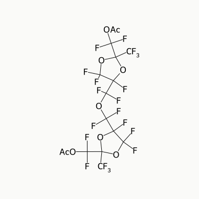 CC(=O)OC(F)(F)C1(C(F)(F)F)OC(F)(F)C(F)(C(F)(F)OC(F)(F)C2(F)OC(C(F)(F)F)(C(F)(F)OC(C)=O)OC2(F)F)O1